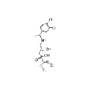 CCOC(OCC)P(=O)(O)C[C@@H](O)CNC(C)c1ccc(Cl)c(Cl)c1